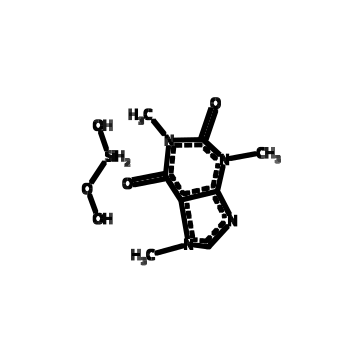 Cn1c(=O)c2c(ncn2C)n(C)c1=O.OO[SiH2]O